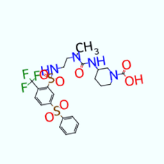 CN(CCNS(=O)(=O)c1cc(S(=O)(=O)c2ccccc2)ccc1C(F)(F)F)C(=O)N[C@@H]1CCCN(C(=O)O)C1